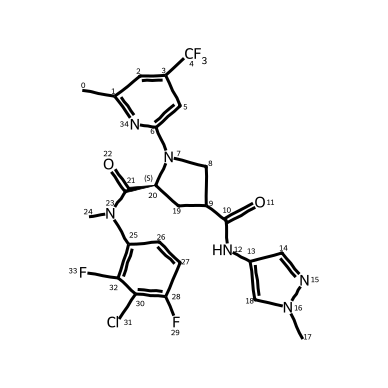 Cc1cc(C(F)(F)F)cc(N2CC(C(=O)Nc3cnn(C)c3)C[C@H]2C(=O)N(C)c2ccc(F)c(Cl)c2F)n1